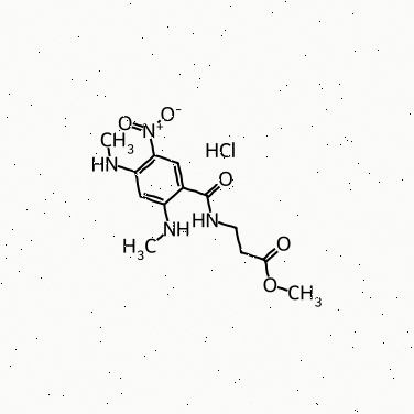 CNc1cc(NC)c([N+](=O)[O-])cc1C(=O)NCCC(=O)OC.Cl